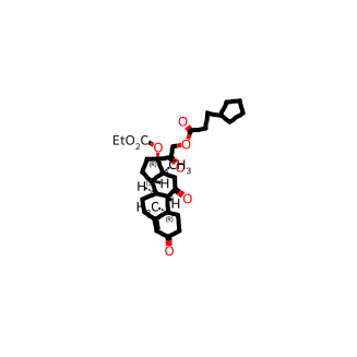 CCOC(=O)O[C@]1(C(=O)COC(=O)CCC2CCCC2)CC[C@H]2[C@@H]3CCC4=CC(=O)CC[C@]4(C)[C@H]3C(=O)C[C@@]21C